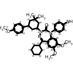 COc1ccc(C2CC(N3N=C(C4CCCCC4)c4cc(OC)c(OC)cc4N(c4ccc(N)cc4)C3=O)CC(C)(C)C2)cc1